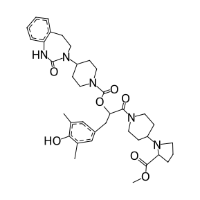 COC(=O)C1CCCN1C1CCN(C(=O)C(Cc2cc(C)c(O)c(C)c2)OC(=O)N2CCC(N3CCc4ccccc4NC3=O)CC2)CC1